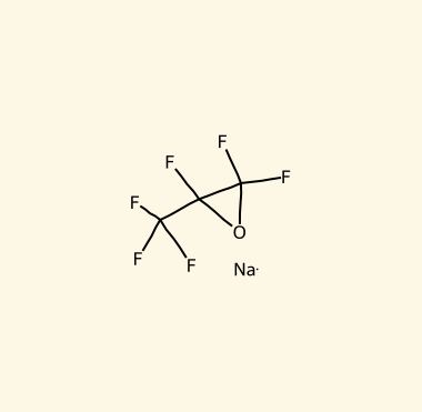 FC(F)(F)C1(F)OC1(F)F.[Na]